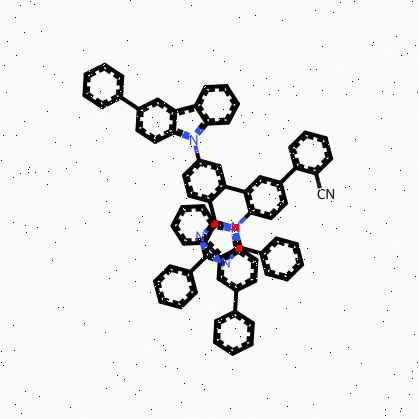 N#Cc1ccccc1-c1ccc(-n2c3ccccc3c3cc(-c4ccccc4)ccc32)c(-c2cc(-n3c4ccccc4c4cc(-c5ccccc5)ccc43)ccc2-c2nc(-c3ccccc3)nc(-c3ccccc3)n2)c1